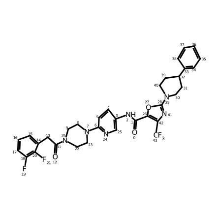 O=C(Nc1ccc(N2CCN(C(=O)Cc3cccc(F)c3F)CC2)nc1)c1oc(N2CCC(c3ccccc3)CC2)nc1C(F)(F)F